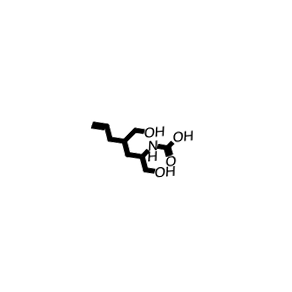 C=CCC(CO)CC(CO)NC(=O)O